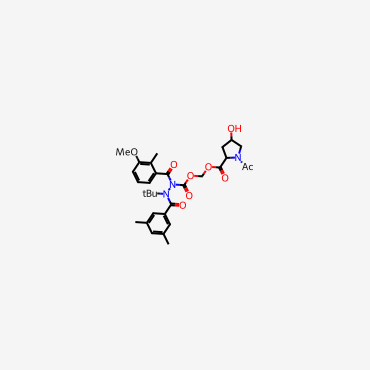 COc1cccc(C(=O)N(C(=O)OCOC(=O)C2CC(O)CN2C(C)=O)N(C(=O)c2cc(C)cc(C)c2)C(C)(C)C)c1C